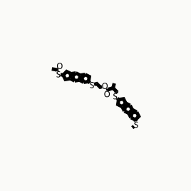 CSC1CC2CC1C1C3CC(C4CC(SCC(C)C(=O)OCCSC5CC6CC5C5C7CC(C8CC(SC(C)=O)CC87)C65)CC43)C21